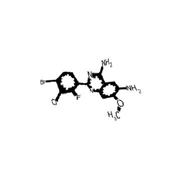 COc1cc2nc(-c3ccc(Br)c(Cl)c3F)nc(N)c2cc1N